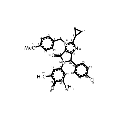 COc1ccc(Cn2c(C3CC3)nc3c2C(=O)N(c2cc(C)c(=O)n(C)c2)C3c2ccc(Cl)cc2)cc1